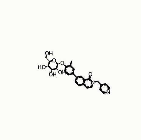 Cc1cc(-c2ccc3ccn(Cc4ccncc4)c(=O)c3c2)ccc1O[C@H]1O[C@@H](CO)[C@@H](O)[C@H](O)[C@H]1O